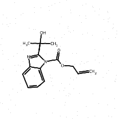 C=CCOC(=O)n1c(C(C)(C)O)nc2ccccc21